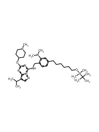 CC(C)c1cnn2c(NCc3ccc(CCCCCCO[Si](C)(C)C(C)(C)C)cc3N(C)C)nc(OC3CCN(C)CC3)nc12